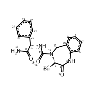 CC[C@H](C)[C@H]1C(=O)Nc2ccccc2CN1C(=O)N[C@H](C(N)=O)c1ccccc1